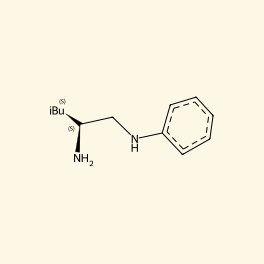 CC[C@H](C)[C@H](N)CNc1ccccc1